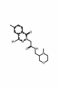 Cc1ccc2c(=O)n(CC(=O)NCC3COCCN3C)nc(C(C)C)c2c1